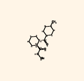 CC1CCC(C(=O)[C@H]2CCCC[C@@H]2C(=O)OC(C)(C)C)CC1